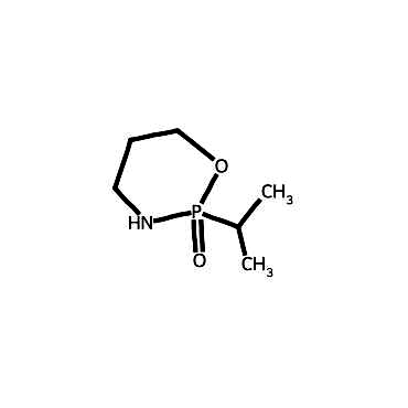 CC(C)P1(=O)NCCCO1